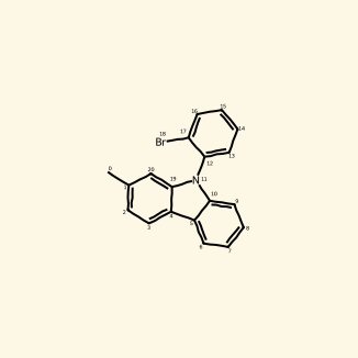 Cc1ccc2c3ccccc3n(-c3ccccc3Br)c2c1